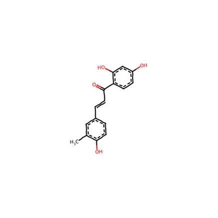 Cc1cc(/C=C/C(=O)c2ccc(O)cc2O)ccc1O